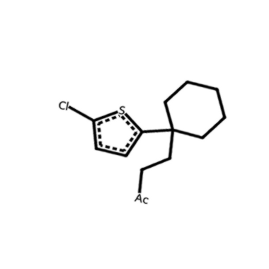 CC(=O)CCC1(c2ccc(Cl)s2)CCCCC1